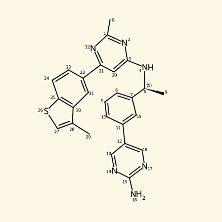 Cc1nc(N[C@@H](C)c2cccc(-c3cnc(N)nc3)c2)cc(-c2ccc3scc(C)c3c2)n1